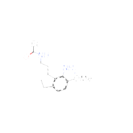 CCC(=O)NCCC1CCc2ccc(OC)c(N)c21